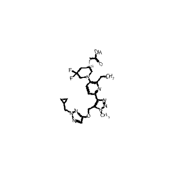 CCc1nc(-c2nnn(C)c2COc2cnn(CC3CC3)n2)ccc1N1C[C@@H](CC(=O)O)CC(F)(F)C1